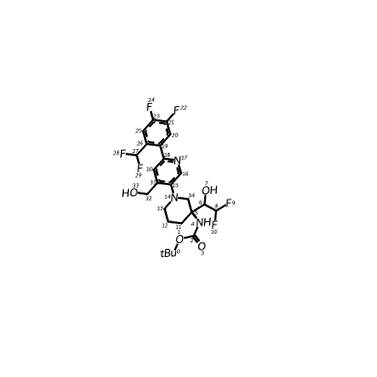 CC(C)(C)OC(=O)NC1(C(O)C(F)F)CCCN(c2cnc(-c3cc(F)c(F)cc3C(F)F)cc2CO)C1